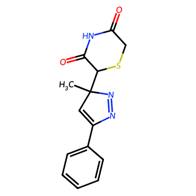 CC1(C2SCC(=O)NC2=O)C=C(c2ccccc2)N=N1